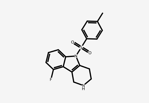 Cc1ccc(S(=O)(=O)n2c3c(c4c(F)cccc42)CNCC3)cc1